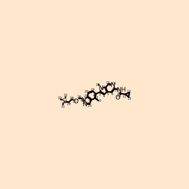 Cc1c(-c2cc3cc(NC(=O)C4CC4)ncc3n2C)ccc2c1cnn2COCC[Si](C)(C)C